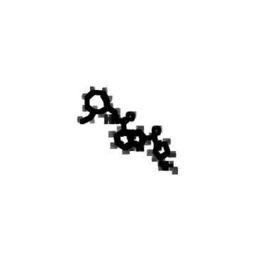 CCC1CCCC=C=C(CNC(=O)c2cccc3nc(C(=O)N4CC[C@H](N)C4)cn23)C1